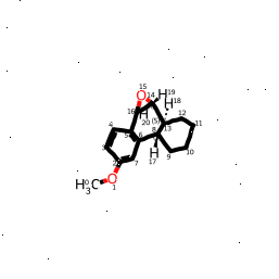 COc1ccc2c(c1)[C@H]1CCCC[C@@H]1[C@H]1O[C@@H]21